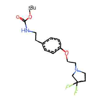 CC(C)(C)OC(=O)NCCc1ccc(OCCN2CCC(F)(F)C2)cc1